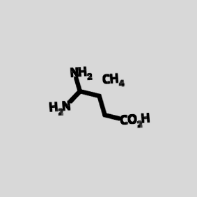 C.NC(N)CCC(=O)O